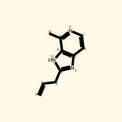 C=CCc1nc2ccnc(C)c2[nH]1